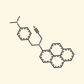 CN(C)c1ccc(CN(CC#N)c2ccc3ccc4cccc5ccc2c3c45)cc1